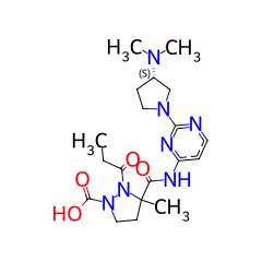 CCC(=O)N1N(C(=O)O)CCC1(C)C(=O)Nc1ccnc(N2CC[C@H](N(C)C)C2)n1